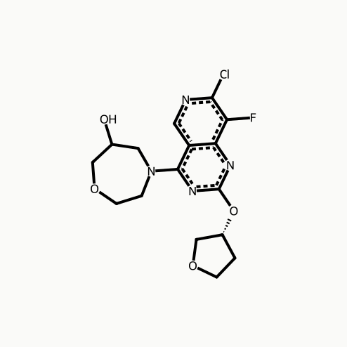 OC1COCCN(c2nc(O[C@@H]3CCOC3)nc3c(F)c(Cl)ncc23)C1